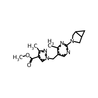 COC(=O)c1cn(Cc2cnc(N3CC4CC4C3)nc2C)nc1C